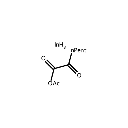 CCCCCC(=O)C(=O)OC(C)=O.[InH3]